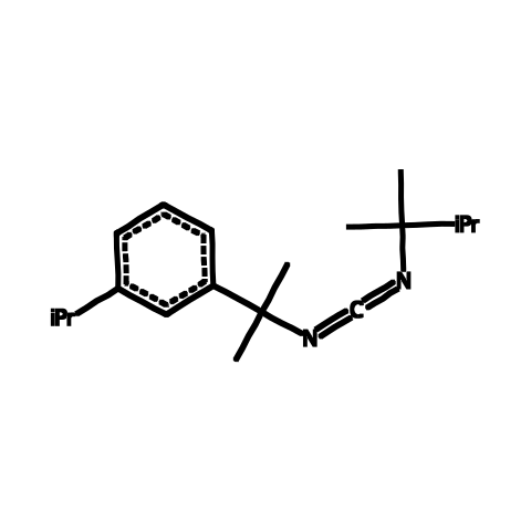 CC(C)c1cccc(C(C)(C)N=C=NC(C)(C)C(C)C)c1